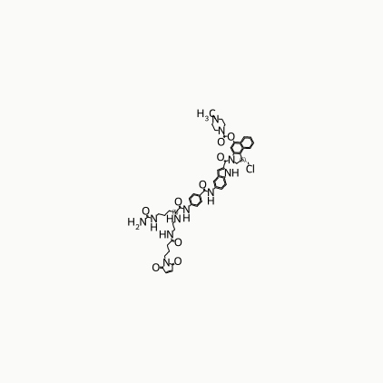 CN1CCN(C(=O)Oc2cc3c(c4ccccc24)[C@H](CCl)CN3C(=O)c2cc3cc(NC(=O)c4ccc(NC(=O)[C@H](CCCNC(N)=O)NCCNC(=O)CCCN5C(=O)C=CC5=O)cc4)ccc3[nH]2)CC1